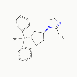 CC1=NCCN1[C@H]1CC[C@H](C(C#N)(c2ccccc2)c2ccccc2)C1